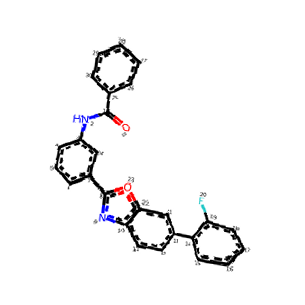 O=C(Nc1cccc(-c2nc3ccc(-c4ccccc4F)cc3o2)c1)c1ccccc1